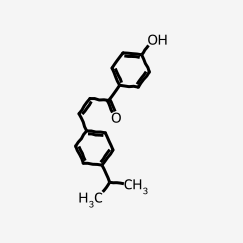 CC(C)c1ccc(/C=C\C(=O)c2ccc(O)cc2)cc1